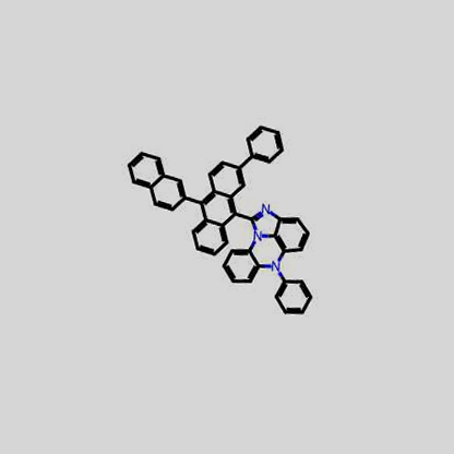 c1ccc(-c2ccc3c(-c4ccc5ccccc5c4)c4ccccc4c(-c4nc5cccc6c5n4-c4ccccc4N6c4ccccc4)c3c2)cc1